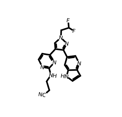 N#CCCNc1nccc(-c2cn(CC(F)F)nc2-c2cnc3cc[nH]c3c2)n1